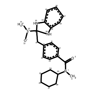 CN(C(=O)c1ccc(CC2([S+](C)[O-])Nc3ccccc3N2)cc1)C1CCCCC1